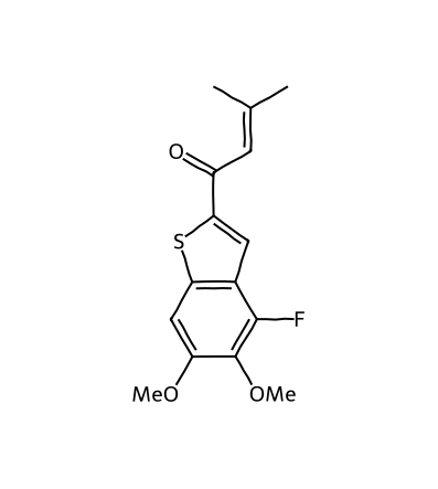 COc1cc2sc(C(=O)C=C(C)C)cc2c(F)c1OC